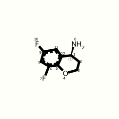 N[C@H]1CCOc2c(F)cc(F)cc21